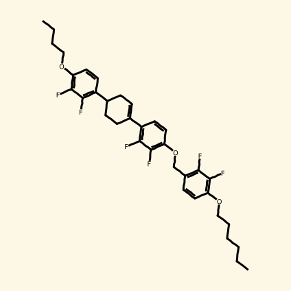 CCCCCCOc1ccc(COc2ccc(C3=CCC(c4ccc(OCCCC)c(F)c4F)CC3)c(F)c2F)c(F)c1F